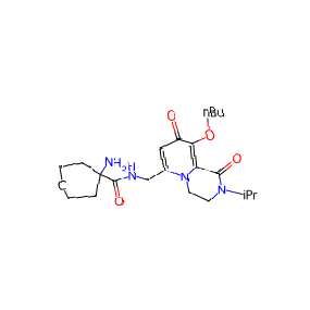 CCCCOc1c2n(c(CNC(=O)C3(N)CCCCC3)cc1=O)CCN(C(C)C)C2=O